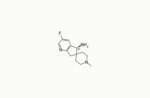 CN1CCC2(CC1)Cc1ncc(F)cc1[C@H]2N